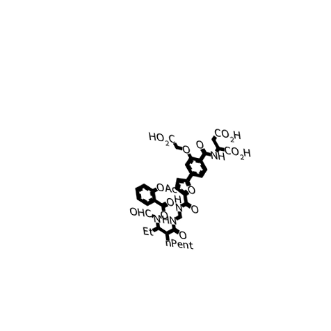 CCCCCC(C(=O)NCNC(=O)c1ccc(-c2ccc(C(=O)NC(CC(=O)O)C(=O)O)c(OCC(=O)O)c2)o1)C(CC)N(C=O)OC(=O)c1ccccc1OC(C)=O